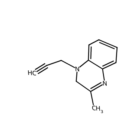 C#CCN1CC(C)=Nc2ccccc21